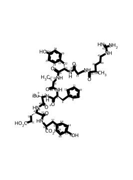 CCC(C)[C@H](NC(=O)[C@H](Cc1ccccc1)NC(=O)[C@H](C)NC(=O)[C@H](Cc1ccc(O)cc1)NC(=O)CNC(=O)[C@@H](C)CCCNC(=N)N)C(=O)N[C@@H](CCC(=O)O)C(=O)N[C@@H](Cc1ccc(O)cc1)C(=O)O